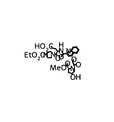 CCOC(=O)N1CCN(C(=O)C(CCC(=O)O)NC(=O)c2cc(OCC(=O)N3C[C@@H](O)C[C@H]3C(=O)OC)c3ccccc3n2)CC1